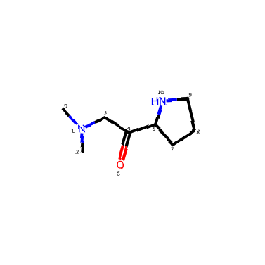 CN(C)CC(=O)C1CCCN1